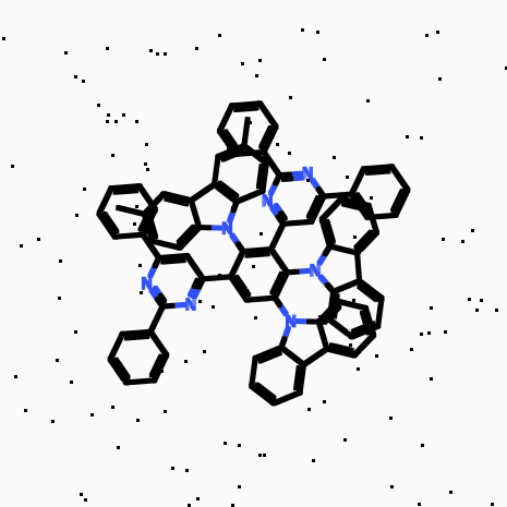 Cc1ccc2c(c1)c1cc(C)ccc1n2-c1c(-c2cc(-c3ccccc3)nc(-c3ccccc3)n2)cc(-n2c3ccccc3c3ccccc32)c(-n2c3ccccc3c3ccccc32)c1-c1cc(-c2ccccc2)nc(-c2ccccc2)n1